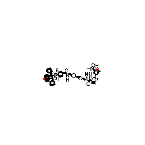 CC(C)C[C@@H](C(=O)N[C@H](C(=O)NCCOCCOCCNC(=O)c1cc(F)c(B2OC(c3ccccc3)(c3ccccc3)C(c3ccccc3)(c3ccccc3)O2)c(F)c1)C(C)(C)C)[C@H](O)C(=O)NO